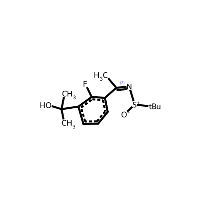 C/C(=N/[S+]([O-])C(C)(C)C)c1cccc(C(C)(C)O)c1F